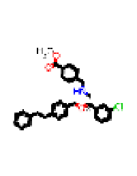 COC(=O)C1C=CC(CNC[C@H](OCc2ccc(CCc3ccccc3)cc2)c2cccc(Cl)c2)=CC1